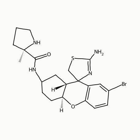 C[C@]1(C(=O)NC2CC[C@@H]3Oc4ccc(Br)cc4C4(CSC(N)=N4)[C@H]3C2)CCCN1